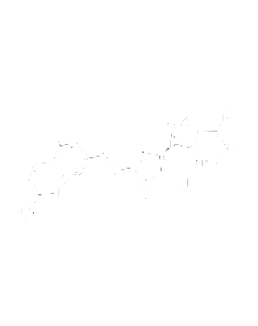 Nc1ccc2ccc(NCC3=C[C@@H](n4ccc5c(N)ncnc54)[C@H](O)[C@@H]3O)cc2n1